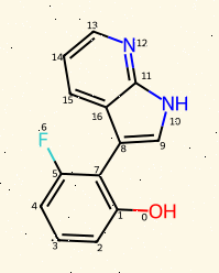 Oc1c[c]cc(F)c1-c1c[nH]c2ncccc12